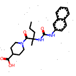 CCCC(C)(NC(=O)Nc1ccc2ccccc2c1)C(=O)N1CCC(C(=O)O)CC1